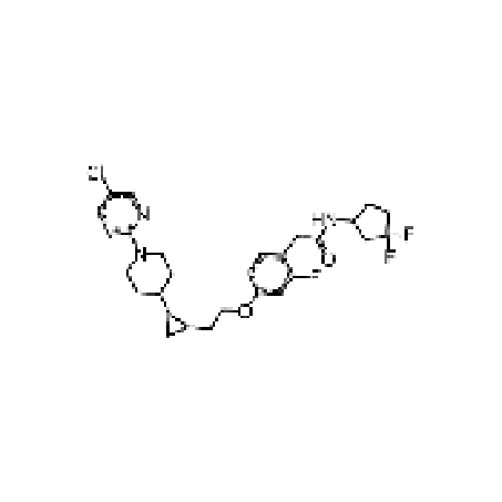 O=C(Cc1ccc(OCCC2CC2C2CCN(c3ncc(Cl)cn3)CC2)cc1F)NC1CCC(F)(F)C1